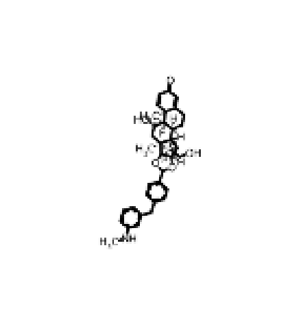 CNc1cccc(Cc2ccc(C3O[C@@H]4C[C@H]5[C@@H]6CCC7=CC(=O)C=C[C@]7(C)[C@@]6(F)[C@@H](O)C[C@]5(C)[C@]4(C(=O)CO)O3)cc2)c1